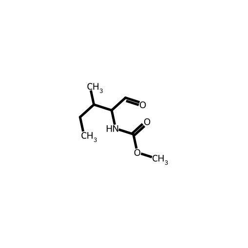 CCC(C)C(C=O)NC(=O)OC